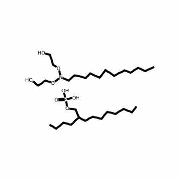 CCCCCCCCC(CCCC)COP(=O)(O)O.CCCCCCCCCCCCN(OCCO)OCCO